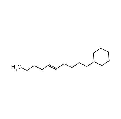 CCCCC=CCCCCC1CCCCC1